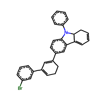 Brc1cccc(C2=CCCC(c3ccc4c(c3)C3=CC=CCC3N4c3ccccc3)=C2)c1